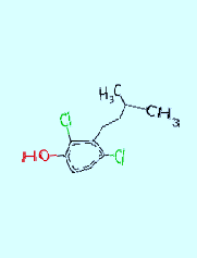 CC(C)CCc1c(Cl)ccc(O)c1Cl